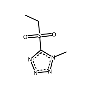 CCS(=O)(=O)c1nnnn1C